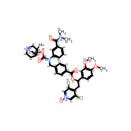 COc1ccc(C(Cc2c(Cl)c[n+]([O-])cc2Cl)OC(=O)c2ccc(CN(C(=O)O[C@H]3CN4CCC3CC4)c3cccc(C(=O)N(C)C)c3)cc2)cc1OC